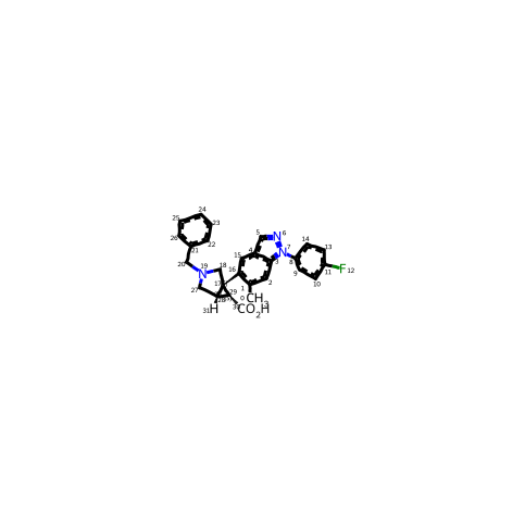 Cc1cc2c(cnn2-c2ccc(F)cc2)cc1[C@]12CN(Cc3ccccc3)C[C@H]1[C@@H]2C(=O)O